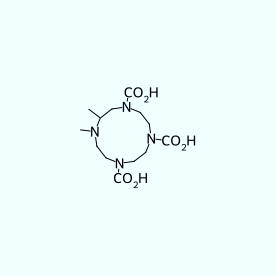 CC1CN(C(=O)O)CCN(C(=O)O)CCN(C(=O)O)CCN1C